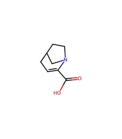 O=C(O)C1=CCC2CCN1C2